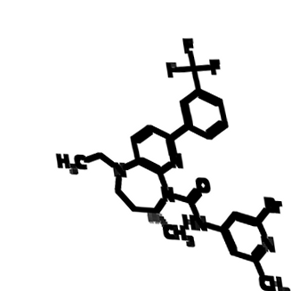 CCN1CC[C@@H](C)N(C(=O)Nc2cc(C)nc(Br)c2)c2nc(-c3cccc(C(F)(F)F)c3)ccc21